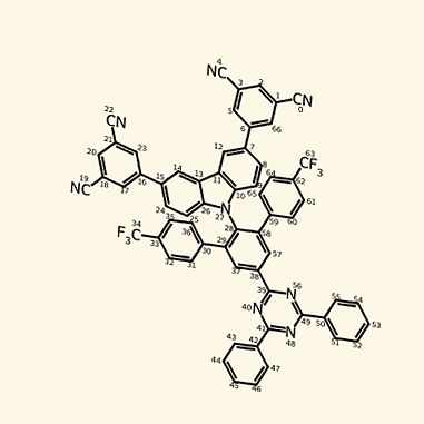 N#Cc1cc(C#N)cc(-c2ccc3c(c2)c2cc(-c4cc(C#N)cc(C#N)c4)ccc2n3-c2c(-c3ccc(C(F)(F)F)cc3)cc(-c3nc(-c4ccccc4)nc(-c4ccccc4)n3)cc2-c2ccc(C(F)(F)F)cc2)c1